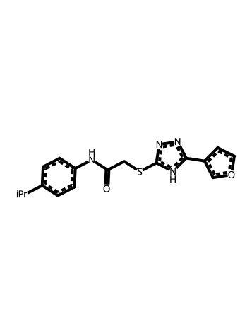 CC(C)c1ccc(NC(=O)CSc2nnc(-c3ccoc3)[nH]2)cc1